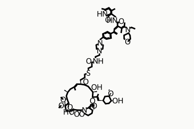 C=C(/C=C(C(=O)NCc1c(C)cc(C)[nH]c1=O)\C(C)=C(/C)N(CC)C1CCOCC1)c1ccc(CN2CCN(CCNC(=O)CCSCCC[C@@H]3/C=C(\C)C[C@H](C)C[C@H](OC)[C@H]4O[C@@](O)(C(=O)C(=O)N5CCCC[C@H]5C(=O)OC(/C(C)=C/[C@@H]5CC[C@@H](O)[C@H](OC)C5)[C@H](C)[C@@H](O)CC3=O)[C@H](C)C[C@@H]4OC)CC2)cc1